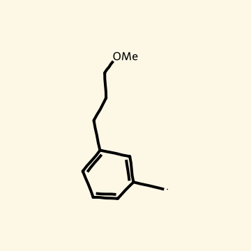 [CH2]c1cccc(CCCOC)c1